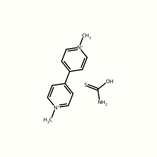 C[n+]1ccc(-c2cc[n+](C)cc2)cc1.NC(O)=S